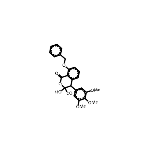 COc1cc(C2c3cccc(OCc4ccccc4)c3C(=O)OC2(O)C(=O)O)cc(OC)c1OC